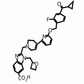 O=C(O)c1ccc2nc(CN3CC=C(c4cccc(OCc5ccc(C(=O)C6CC6)cc5F)n4)CC3)n(CC3CCO3)c2c1